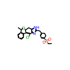 CCS(=O)(=O)C1=CC=C(Cc2nc3c([nH]2)CC(Cl)C(c2ccccc2C(C)C)=C3Cl)CC1